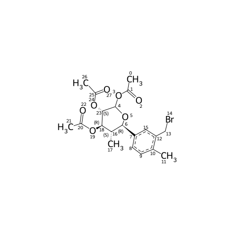 CC(=O)OC1O[C@@H](c2ccc(C)c(CBr)c2)[C@H](C)[C@@H](OC(C)=O)[C@@H]1OC(C)=O